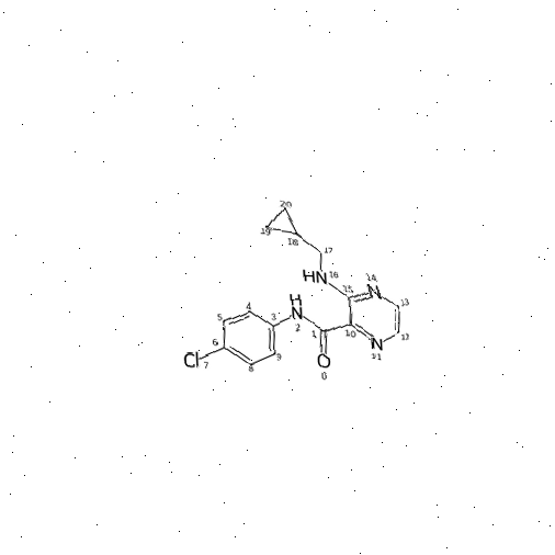 O=C(Nc1ccc(Cl)cc1)c1nccnc1NCC1CC1